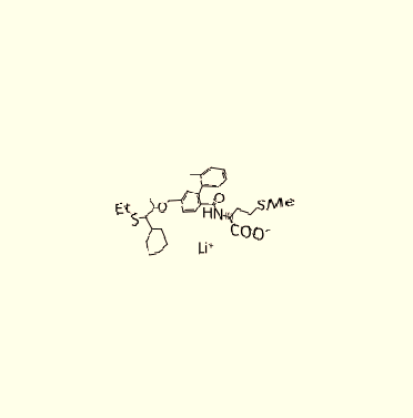 CCSC(C1CCCCC1)C(C)OCc1ccc(C(=O)N[C@@H](CCSC)C(=O)[O-])c(-c2ccccc2C)c1.[Li+]